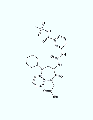 CC(C)(C)C(=O)CN1C(=O)C(NC(=O)Nc2cccc(C(=O)NS(C)(=O)=O)c2)CN(C2CCCCC2)c2ccccc21